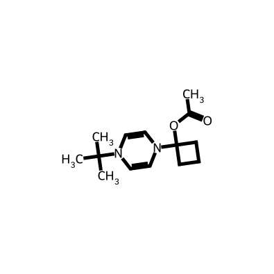 CC(=O)OC1(N2C=CN(C(C)(C)C)C=C2)CCC1